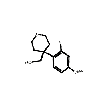 COc1ccc(C2(CO)CCOCC2)c(F)c1